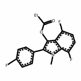 CCC(=O)Oc1c(-c2ccc(F)cc2)n(C)c2c(F)ccc(F)c12